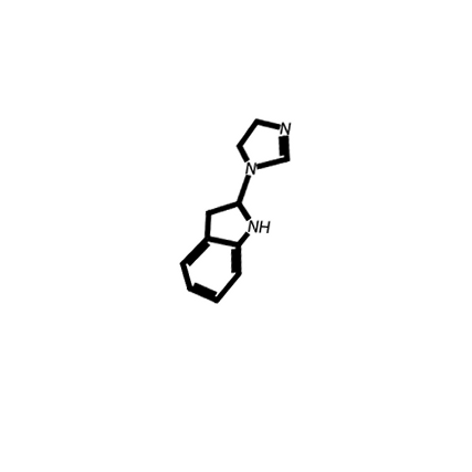 C1=NCCN1C1Cc2ccccc2N1